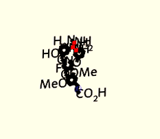 COc1cc(/C=C/C(=O)O)cc(OC)c1Oc1c(F)c(Oc2cccc(NC(=N)N)c2)nc(Oc2cc(C(=N)N)ccc2O)c1F